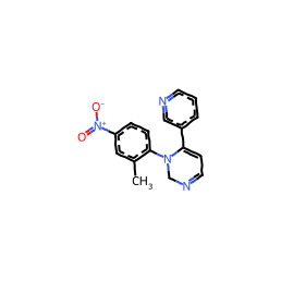 Cc1cc([N+](=O)[O-])ccc1N1CN=CC=C1c1cccnc1